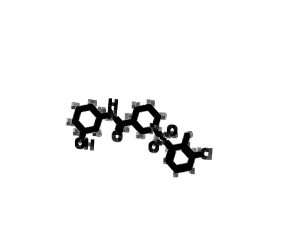 Cc1c(Cl)cccc1S(=O)(=O)N1CCCC(C(=O)NC2CCCC(O)C2)C1